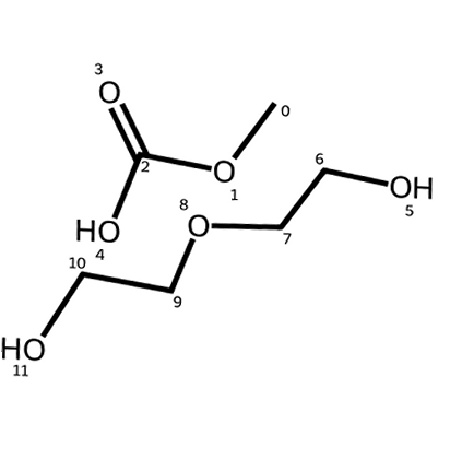 COC(=O)O.OCCOCCO